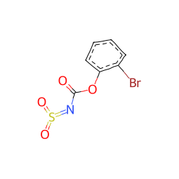 O=C(N=S(=O)=O)Oc1ccccc1Br